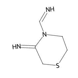 N=CN1CCSCC1=N